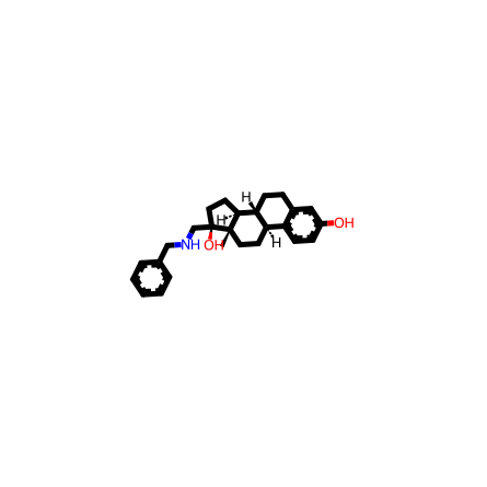 C[C@]12CC[C@@H]3c4ccc(O)cc4CC[C@H]3[C@@H]1CC[C@@]2(O)CNCc1ccccc1